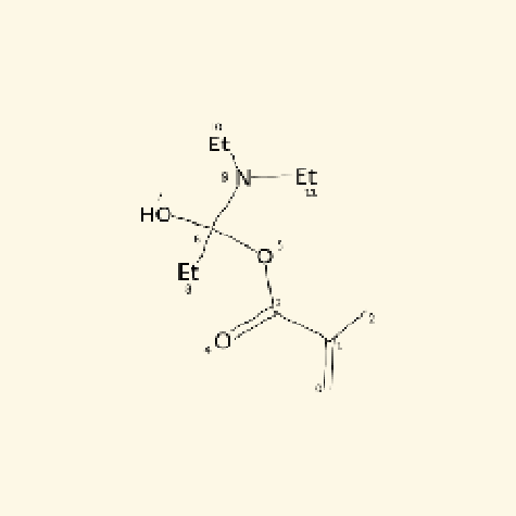 C=C(C)C(=O)OC(O)(CC)N(CC)CC